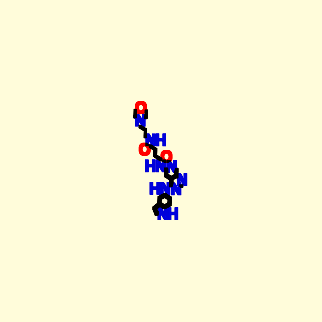 O=C(C=CC(=O)Nc1cc2c(Nc3ccc4[nH]ccc4c3)ncnc2cn1)NCCCN1CCOCC1